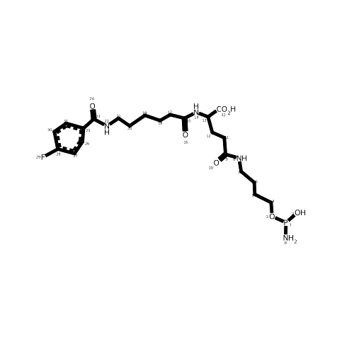 NP(O)OCCCCNC(=O)CCC(NC(=O)CCCCCNC(=O)c1ccc(F)cc1)C(=O)O